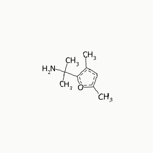 Cc1cc(C)c(C(C)(C)N)o1